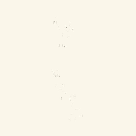 Cn1c(=O)n(C2CCC(=O)NC2=O)c2ccc(CNCCCCCCc3cn(Cc4cccc(N5C[C@H]6C[C@@H]5CN6/C=C/C(=O)c5ccccc5O)n4)nn3)cc21